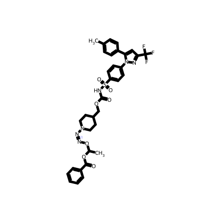 Cc1ccc(-c2cc(C(F)(F)F)nn2-c2ccc(S(=O)(=O)NC(=O)OCC3CCN(/N=N\OC(C)OC(=O)c4ccccc4)CC3)cc2)cc1